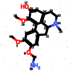 COc1cc2c(cc1OCN)CC1c3c(cc(O)c(OC)c3-2)CCN1C